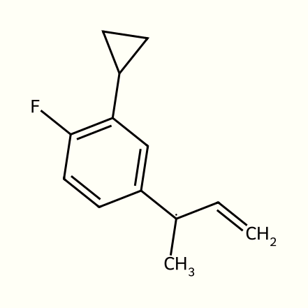 C=C[C](C)c1ccc(F)c(C2CC2)c1